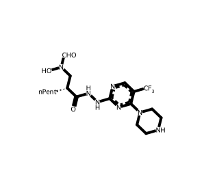 CCCCC[C@H](CN(O)C=O)C(=O)NNc1ncc(C(F)(F)F)c(N2CCNCC2)n1